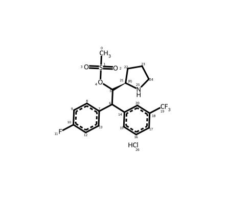 CS(=O)(=O)OC(C(c1ccc(F)cc1)c1cccc(C(F)(F)F)c1)[C@H]1CCCN1.Cl